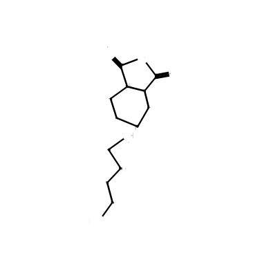 O=C1OC(=O)C2CCCCC12.OCCCCO